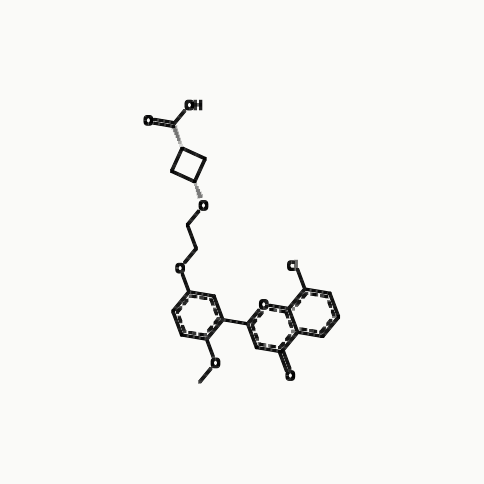 COc1ccc(OCCO[C@H]2C[C@@H](C(=O)O)C2)cc1-c1cc(=O)c2cccc(Cl)c2o1